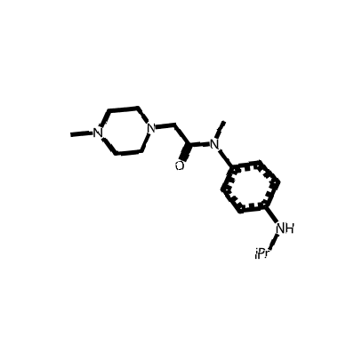 CC(C)Nc1ccc(N(C)C(=O)CN2CCN(C)CC2)cc1